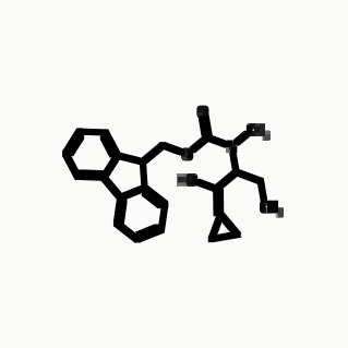 CCC(C(O)=C1CC1)N(C)C(=O)OCC1c2ccccc2-c2ccccc21